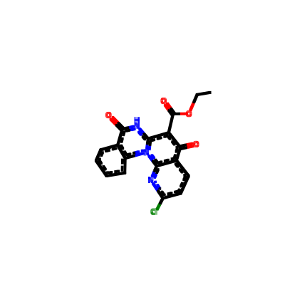 CCOC(=O)c1c(=O)c2ccc(Cl)nc2n2c1[nH]c(=O)c1ccccc12